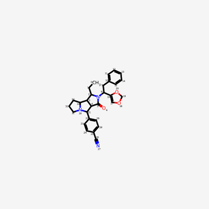 CCC1C2C(C(=O)N1C(Cc1ccccc1)C1=COCO1)C(c1ccc(C#N)cc1)N1CCCC21